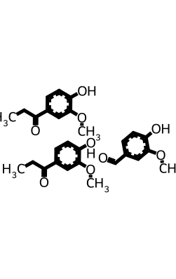 CCC(=O)c1ccc(O)c(OC)c1.CCC(=O)c1ccc(O)c(OC)c1.COc1cc(C=O)ccc1O